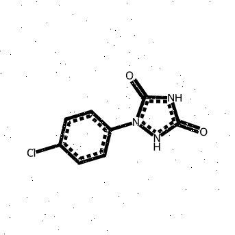 O=c1[nH]c(=O)n(-c2ccc(Cl)cc2)[nH]1